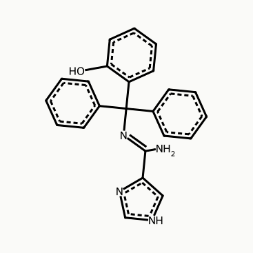 N/C(=N\C(c1ccccc1)(c1ccccc1)c1ccccc1O)c1c[nH]cn1